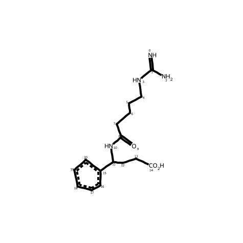 N=C(N)NCCCCC(=O)NC(CCC(=O)O)c1ccccc1